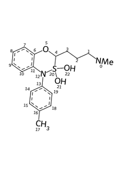 CNCCCC1Oc2ccccc2N(c2ccc(C)cc2)S1(O)O